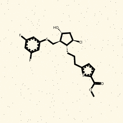 COC(=O)c1ccc(CCC[C@@H]2[C@@H](CSc3cc(F)cc(F)c3)[C@H](O)C[C@H]2Cl)s1